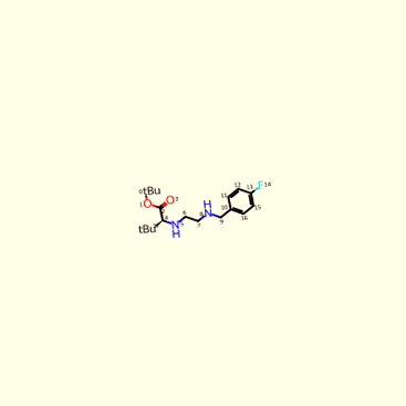 CC(C)(C)OC(=O)[C@@H](NCCNCc1ccc(F)cc1)C(C)(C)C